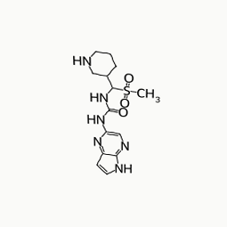 CS(=O)(=O)C(NC(=O)Nc1cnc2[nH]ccc2n1)C1CCCNC1